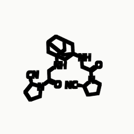 N#C[C@@H]1CCCN1C(=O)CNC12CC3CC(C1)CC(NCC(=O)N1CCC[C@H]1C#N)(C3)C2